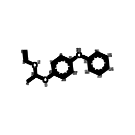 C=COC(C)Oc1ccc(Oc2ccccc2)cc1